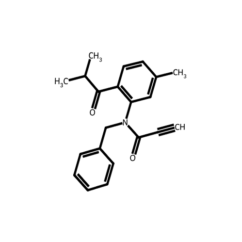 C#CC(=O)N(Cc1ccccc1)c1cc(C)ccc1C(=O)C(C)C